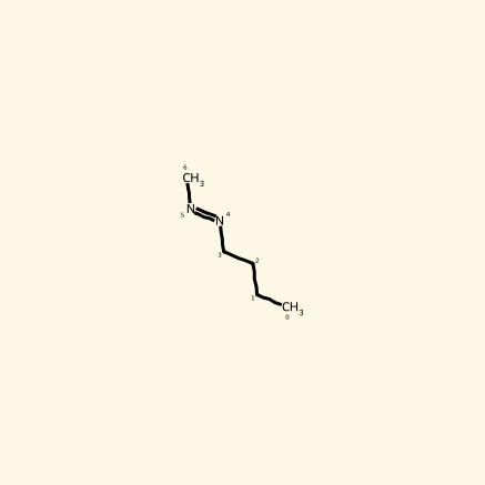 CCCCN=NC